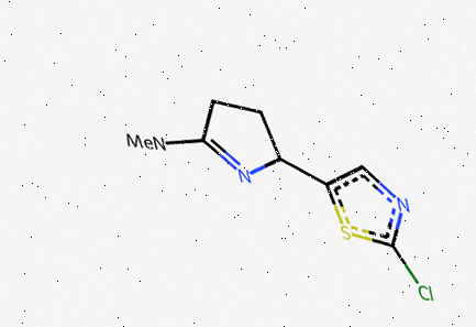 CNC1=NC(c2cnc(Cl)s2)CC1